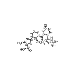 [2H]C([2H])([2H])NC(=O)c1nnc(Cl)cc1Nc1cccc(-c2cc(C(=O)O)n(C)n2)c1OC